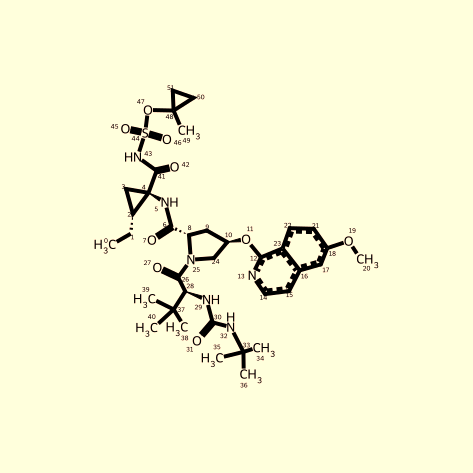 CC[C@@H]1C[C@]1(NC(=O)[C@@H]1C[C@@H](Oc2nccc3cc(OC)ccc23)CN1C(=O)[C@@H](NC(=O)NC(C)(C)C)C(C)(C)C)C(=O)NS(=O)(=O)OC1(C)CC1